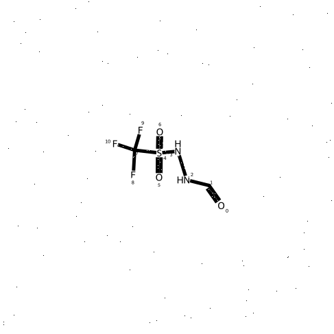 O=CNNS(=O)(=O)C(F)(F)F